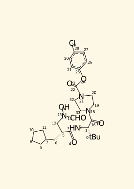 CC(C)(C)[C@H](NC(=O)[C@H](CC1CCCC1)CN(O)C=O)C(=O)N1CCN(C(=O)Oc2ccc(Cl)cc2)CC1